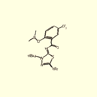 CCCCn1nc(C(C)(C)C)sc1=NC(=O)c1cc(C(F)(F)F)ccc1ON(C)C